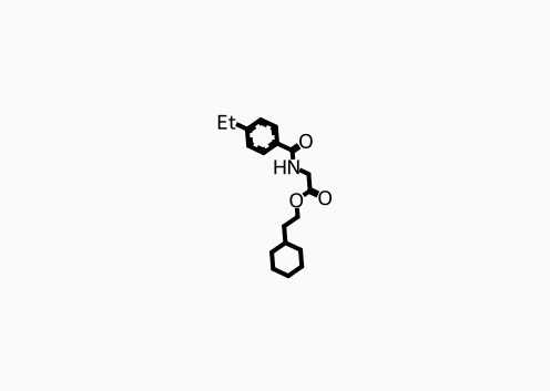 CCc1ccc(C(=O)NCC(=O)OCCC2CCCCC2)cc1